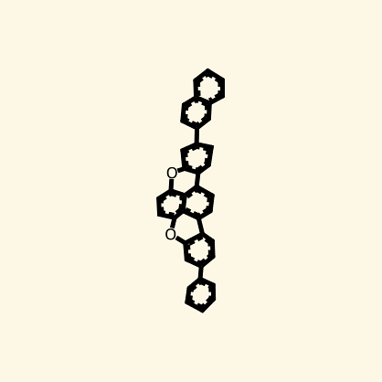 c1ccc(-c2ccc3c(c2)Oc2ccc4c5c(ccc-3c25)-c2ccc(-c3ccc5ccccc5c3)cc2O4)cc1